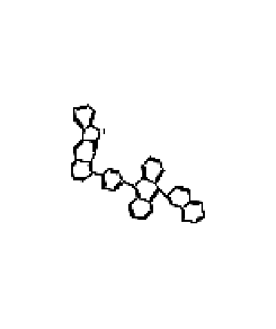 c1ccc2cc(-c3c4ccccc4c(-c4ccc(-c5cccc6cc7c(cc56)oc5ccccc57)cc4)c4ccccc34)ccc2c1